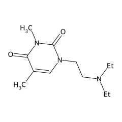 CCN(CC)CCn1cc(C)c(=O)n(C)c1=O